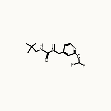 CC(C)(C)CNC(=O)NCc1ccnc(OC(F)F)c1